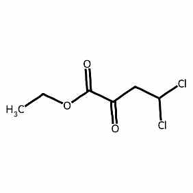 CCOC(=O)C(=O)CC(Cl)Cl